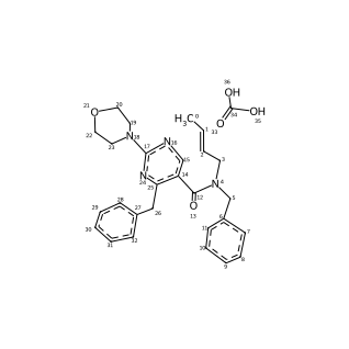 C/C=C/CN(Cc1ccccc1)C(=O)c1cnc(N2CCOCC2)nc1Cc1ccccc1.O=C(O)O